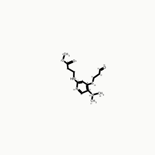 COC(=O)CCNc1cc(SCCC=O)c(N(C)C)cn1